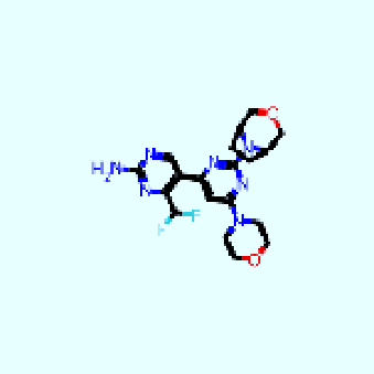 Nc1ncc(-c2cc(N3CCOCC3)nc(N3C4CCC3COC4)n2)c(C(F)F)n1